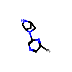 FC(F)(F)c1cncc(N2CC3CC2CN3)n1